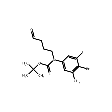 Cc1cc(N(CCCC=O)C(=O)OC(C)(C)C)cc(F)c1Br